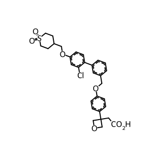 O=C(O)CC1(c2ccc(OCc3cccc(-c4ccc(OCC5CCS(=O)(=O)CC5)cc4Cl)c3)cc2)COC1